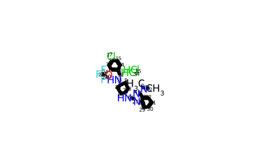 CN(C)c1nc(NC2CCC(NCc3ccc(Cl)cc3OC(F)(F)F)CC2)nc2ccccc12.Cl.Cl